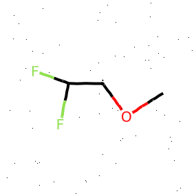 CO[CH]C(F)F